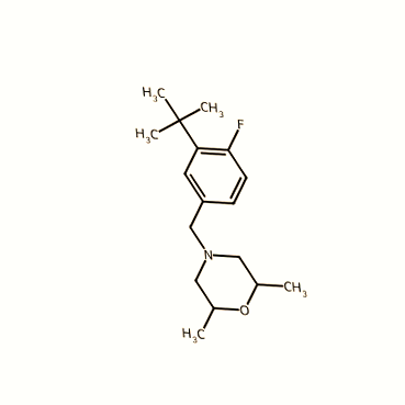 CC1CN(Cc2ccc(F)c(C(C)(C)C)c2)CC(C)O1